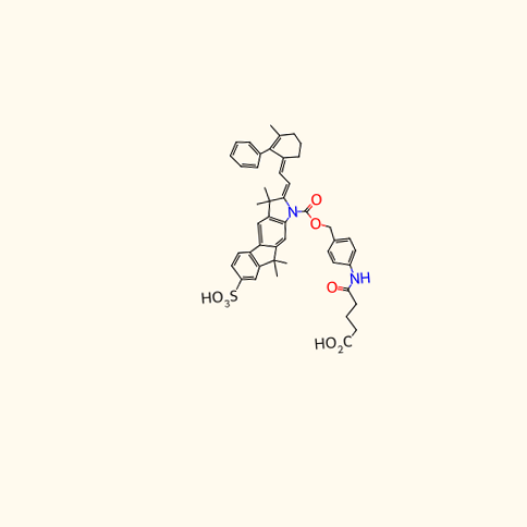 CC1=C(c2ccccc2)/C(=C/C=C2/N(C(=O)OCc3ccc(NC(=O)CCCC(=O)O)cc3)c3cc4c(cc3C2(C)C)-c2ccc(S(=O)(=O)O)cc2C4(C)C)CCC1